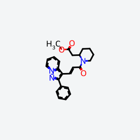 COC(=O)CC1CCCCN1C(=O)C=Cc1c(-c2ccccc2)nn2ccccc12